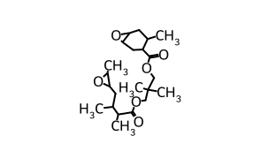 CC(CC1OC1C)C(C)C(=O)OCC(C)(C)COC(=O)C1CC2OC2CC1C